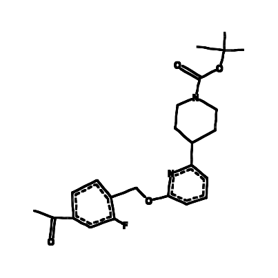 CC(=O)c1ccc(COc2cccc(C3CCN(C(=O)OC(C)(C)C)CC3)n2)c(F)c1